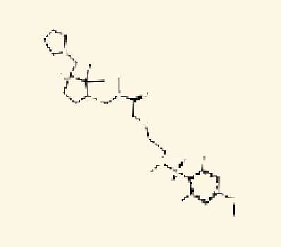 COc1cc(C)c(S(=O)(=O)N(C)CCOCC(=O)N(C)C[C@H]2CC[C@@](C)(CN3CCCC3)C2(C)C)c(C)c1